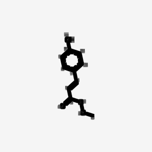 COOC(=O)C=Cc1ccc(O)cc1